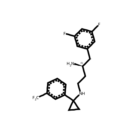 N[C@@H]([CH]c1cc(F)cc(F)c1)CCNC1(c2cccc(C(F)(F)F)c2)CC1